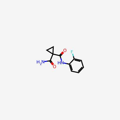 NC(=O)C1(C(=O)Nc2ccccc2F)CC1